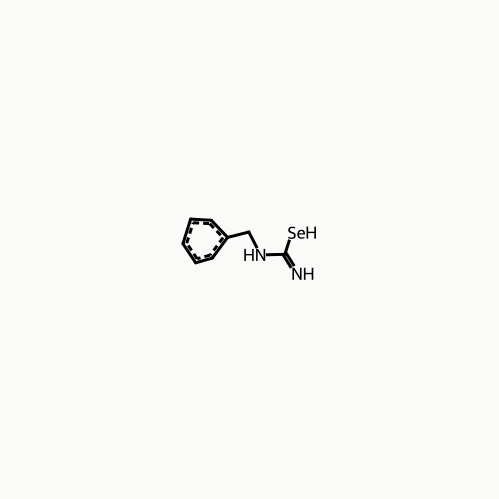 N=C([SeH])NCc1ccccc1